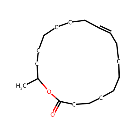 CC1CCCCCCC=CCCCCCCCC(=O)O1